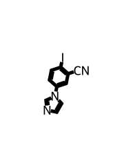 N#Cc1cc(-n2ccnc2)ccc1I